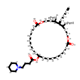 C=C=C=C=C1C(CCCCC)CCOC(=O)CCCCCCCC(OC(=O)CCCN2CCCCC2)CCCCCCCC(=O)OCCC1CCCCC